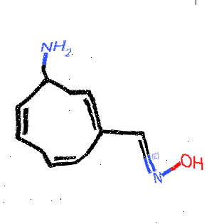 NC1C=CC=CC(/C=N/O)=C1